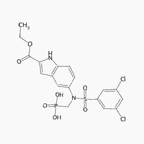 CCOC(=O)c1cc2cc(N(CP(=O)(O)O)S(=O)(=O)c3cc(Cl)cc(Cl)c3)ccc2[nH]1